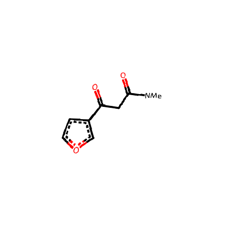 CNC(=O)CC(=O)c1ccoc1